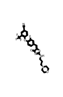 N#Cc1ccc(Oc2ccc(C=C3SC(NCCCN4CCOCC4)=NC3=O)cc2F)c(C(F)(F)F)c1